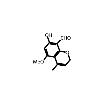 COc1cc(O)c(C=O)c2c1C(C)=CCO2